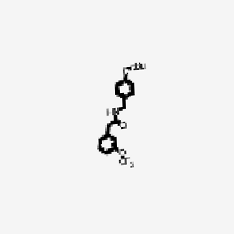 CC(C)(C)Oc1ccc(CNC(=O)Cc2cccc(OC(F)(F)F)c2)cc1